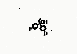 C=CC(O)(c1ccc(F)cc1)c1ccc(OC)cc1